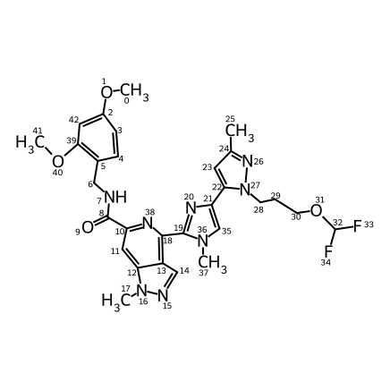 COc1ccc(CNC(=O)c2cc3c(cnn3C)c(-c3nc(-c4cc(C)nn4CCCOC(F)F)cn3C)n2)c(OC)c1